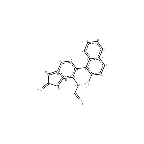 O=CNc1c(-c2c(O)ccc3ccccc23)ccc2c1=NC(=O)N=2